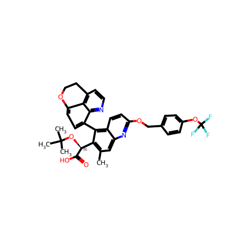 Cc1cc2nc(OCc3ccc(OC(F)(F)F)cc3)ccc2c(-c2ccc3c4c(ccnc24)CCO3)c1[C@H](OC(C)(C)C)C(=O)O